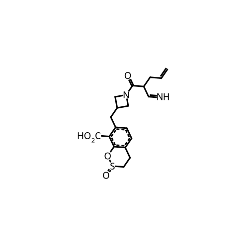 C=CCC(C=N)C(=O)N1CC(Cc2ccc3c(c2C(=O)O)OS(=O)CC3)C1